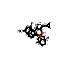 N#Cc1cc(F)c2nc(C3(O)C[C@H]4CC[C@@H](C3)C4OCc3c(-c4c(Cl)cccc4Cl)noc3C3CC3)sc2c1